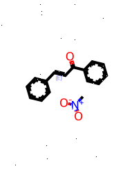 C[N+](=O)[O-].O=C(/C=C/c1ccccc1)c1ccccc1